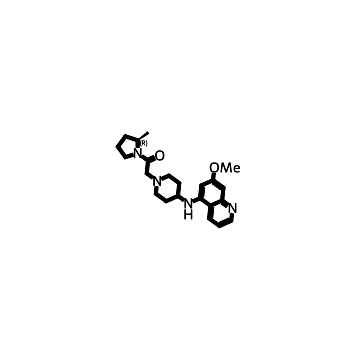 COc1cc(NC2CCN(CC(=O)N3CCC[C@H]3C)CC2)c2cccnc2c1